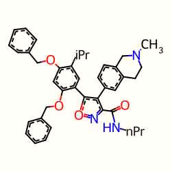 CCCNC(=O)c1noc(-c2cc(C(C)C)c(OCc3ccccc3)cc2OCc2ccccc2)c1-c1ccc2c(c1)CCN(C)C2